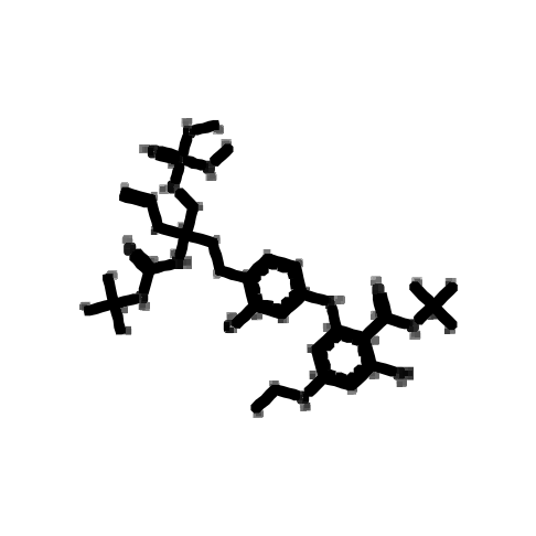 C=CCC(CCc1ccc(Sc2cc(OCC)cc(O)c2C(=O)OC(C)(C)C)cc1Cl)(COP(=O)(OC)OC)NC(=O)OC(C)(C)C